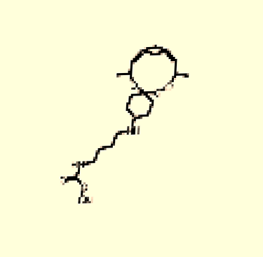 CC1C=C2CC(=CC(C)OC3(CCC(NCCCCNC(=O)OC(C)(C)C)CC3)OO1)C2